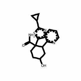 NC(=O)C1(c2cnc(C3CC3)s2)CCC(O)CC1c1ccccn1